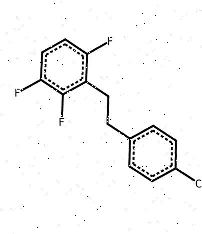 Fc1ccc(F)c(CCc2ccc(Cl)cc2)c1F